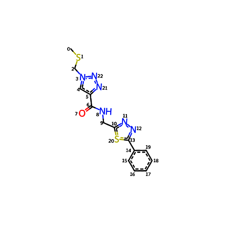 CSCn1cc(C(=O)NCc2nnc(-c3ccccc3)s2)nn1